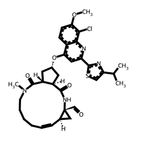 COc1ccc2c(O[C@@H]3C[C@H]4C(=O)N[C@]5(C=O)C[C@H]5/C=C\CCCCN(C)C(=O)[C@@H]4C3)cc(-c3nc(C(C)C)cs3)nc2c1Cl